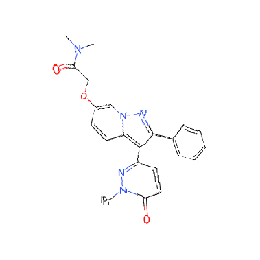 CC(C)n1nc(-c2c(-c3ccccc3)nn3cc(OCC(=O)N(C)C)ccc23)ccc1=O